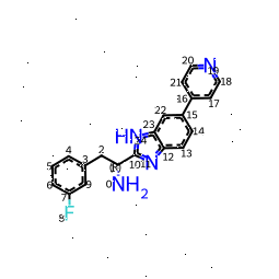 N[C@H](Cc1cccc(F)c1)c1nc2ccc(-c3ccncc3)cc2[nH]1